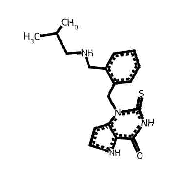 CC(C)CNCc1ccccc1Cn1c(=S)[nH]c(=O)c2[nH]ccc21